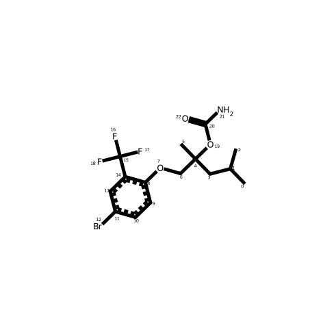 CC(C)CC(C)(COc1ccc(Br)cc1C(F)(F)F)OC(N)=O